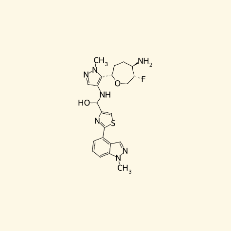 Cn1ncc(NC(O)c2csc(-c3cccc4c3cnn4C)n2)c1[C@@H]1CC[C@@H](N)[C@H](F)CO1